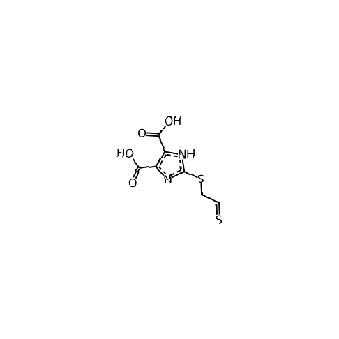 O=C(O)c1nc(SCC=S)[nH]c1C(=O)O